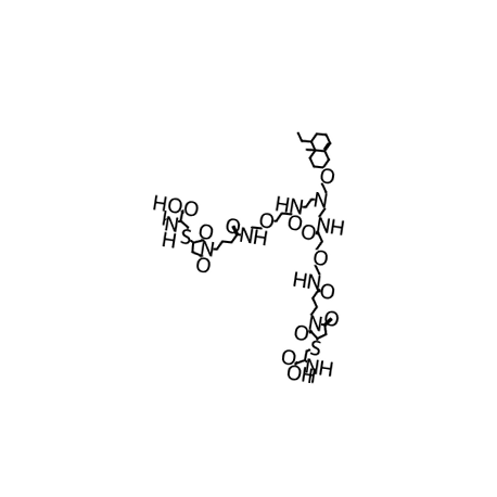 CCC1CCC=C2CC(OCCN(CCNC(=O)CCOCCNC(=O)CCCN3C(=O)CC(SCC(NI)C(=O)O)C3=O)CCNC(=O)CCOCCNC(=O)CCCN3C(=O)CC(SCC(NI)C(=O)O)C3=O)CCC21C